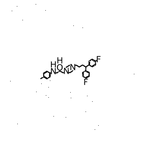 Cc1ccc(NCC(O)CN2CCN(CCCC(c3ccc(F)cc3)c3ccc(F)cc3)CC2)cc1